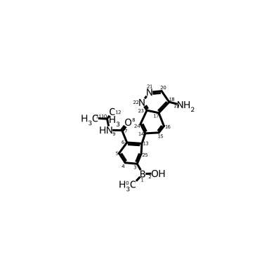 CB(O)c1ccc(C(=O)NC(C)C)c(-c2ccc3c(N)cnnc3c2)c1